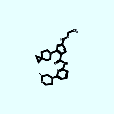 C[C@@H]1CN(c2cccc(NC(=O)c3ccc(NSCC(F)(F)F)cc3N3CCC4(CC3)CC4)n2)CCO1